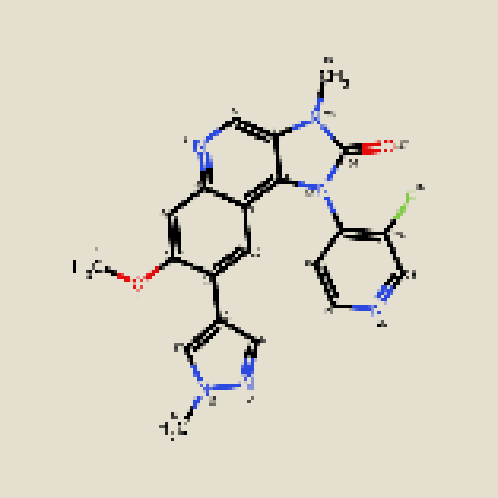 COc1cc2ncc3c(c2cc1-c1cnn(C)c1)n(-c1ccncc1F)c(=O)n3C